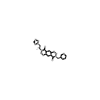 C[C@H](Cn1ncnn1)n1nnc2cc3c(=O)n(Cc4cccnc4)nnc3cc2c1=O